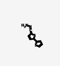 NN=C=C1C=CC(c2cccs2)S1